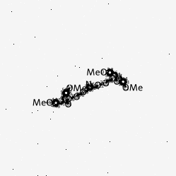 COc1ccc(CN(Cc2ccc(OC)cc2)C(=O)OCCOCCOCc2cncc(COCCOCCOC(=O)N(Cc3ccc(OC)cc3)Cc3ccc(OC)cc3)c2)cc1